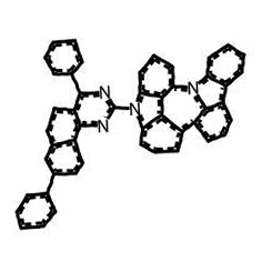 c1ccc(-c2ccc3c(ccc4c(-c5ccccc5)nc(-n5c6cccc7c8cccc9c%10ccccc%10n(c%10cccc5c%10c76)c89)nc43)c2)cc1